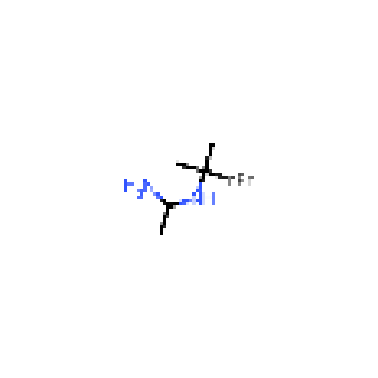 CCCC(C)(C)NC(C)N